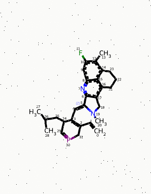 C=CC1=C(/C=C2/c3nc4cc(F)c(C)c5c4c(c3CN2C)CCC5)C(CC(C)C)C=PC1